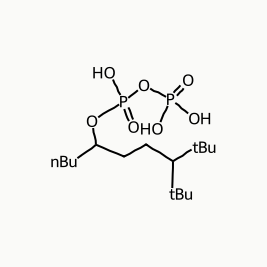 CCCCC(CCC(C(C)(C)C)C(C)(C)C)OP(=O)(O)OP(=O)(O)O